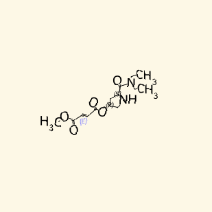 CCN(CC)C(=O)[C@@H]1C[C@@H](OC(=O)/C=C/C(=O)OC)CN1